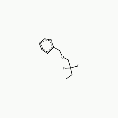 CCC(F)(F)COCc1ccccn1